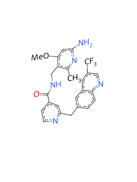 COc1cc(N)nc(C)c1CNC(=O)c1ccnc(Cc2ccc3ncc(C(F)(F)F)cc3c2)c1